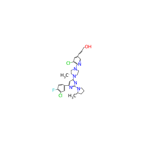 C[C@@H]1CN(c2ncc(/C=C/CO)cc2Cl)CCN1c1cc(-c2ccc(F)c(Cl)c2)nc(N2CCC[C@H]2C)n1